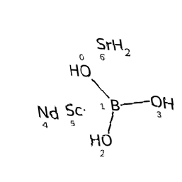 OB(O)O.[Nd].[Sc].[SrH2]